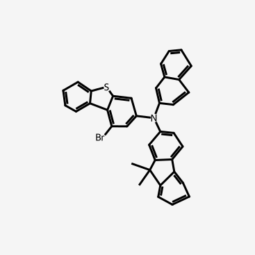 CC1(C)c2ccccc2-c2ccc(N(c3ccc4ccccc4c3)c3cc(Br)c4c(c3)sc3ccccc34)cc21